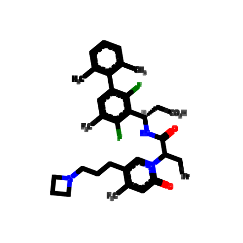 Cc1cccc(C)c1-c1cc(C(F)(F)F)c(F)c([C@H](CC(=O)O)NC(=O)C(CC(C)C)n2cc(CCCN3CCC3)c(C(F)(F)F)cc2=O)c1F